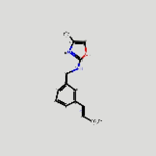 CCOC(=O)/C=C/c1cccc(CNc2nc(C(F)(F)F)co2)c1